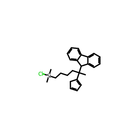 CC(CCCC[Si](C)(C)Cl)(C1=CC=CC1)C1c2ccccc2-c2ccccc21